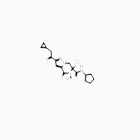 CCCN1C(=O)c2cc(C(=O)CC3CC3)nn2CC1(C)C(=O)NC1CCCC1